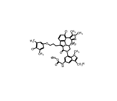 Cc1cc(OCCCc2c3n(c4c(-c5c(C)nn(C)c5C)c(Cl)ccc24)C(C)CN(c2cc(NC(=O)OC(C)(C)C)cc4c(C(=O)O)cn(C)c24)C3=O)cc(C)c1Cl